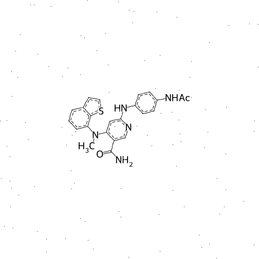 CC(=O)Nc1ccc(Nc2cc(N(C)c3cccc4ccsc34)c(C(N)=O)cn2)cc1